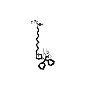 CCCNCCCCCCCCCN1CC[C@H](C(C(N)=O)(c2ccccc2)c2ccccc2)C1